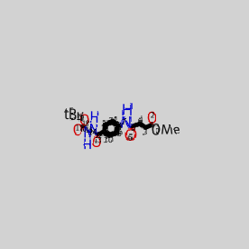 COC(=O)CCC(=O)Nc1ccc(C(=O)NNC(=O)OC(C)(C)C)cc1